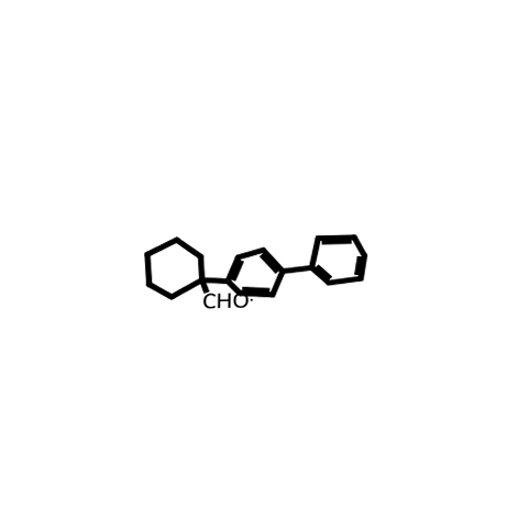 O=[C]C1(c2ccc(-c3ccccc3)cc2)CCCCC1